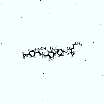 CCCC(=O)C1(COc2cc(C)c(-c3cnc(CN/C=C(\NC)c4ccc(C5CC5)cc4)c(F)c3)cn2)CC1